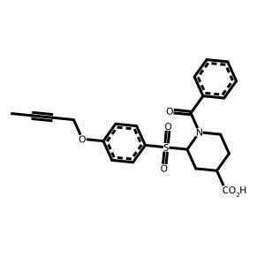 CC#CCOc1ccc(S(=O)(=O)C2CC(C(=O)O)CCN2C(=O)c2ccccc2)cc1